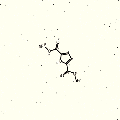 CCCOC(=O)c1ccc(C(=O)OCCC)o1